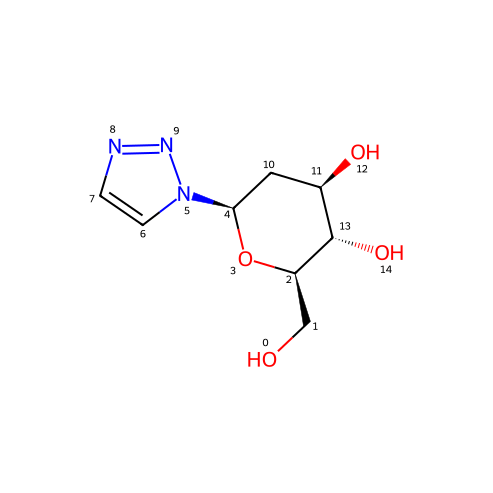 OC[C@H]1O[C@@H](n2ccnn2)C[C@@H](O)[C@@H]1O